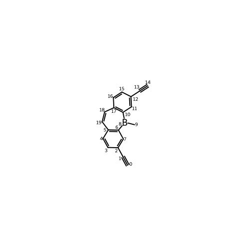 C#Cc1ccc2c(c1)B(C)c1cc(C#C)ccc1C=C2